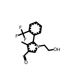 Cc1c([C]=O)cn(CCO)c1-c1ccccc1C(F)(F)F